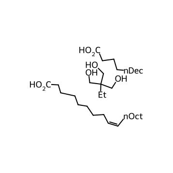 CCC(CO)(CO)CO.CCCCCCCC/C=C\CCCCCCCC(=O)O.CCCCCCCCCCCCCC(=O)O